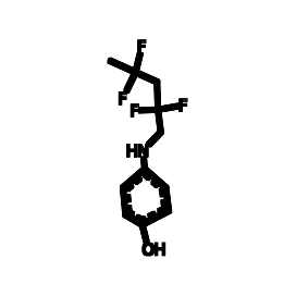 CC(F)(F)CC(F)(F)CNc1ccc(O)cc1